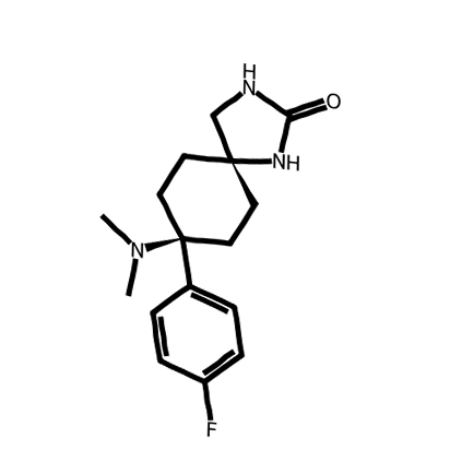 CN(C)[C@]1(c2ccc(F)cc2)CC[C@@]2(CC1)CNC(=O)N2